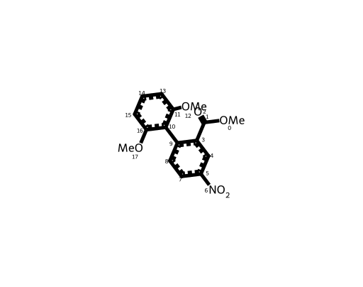 COC(=O)c1cc([N+](=O)[O-])ccc1-c1c(OC)cccc1OC